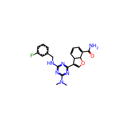 CN(C)c1nc(NCc2cccc(F)c2)nc(C2=COC3C(C(N)=O)=CC=CC23)n1